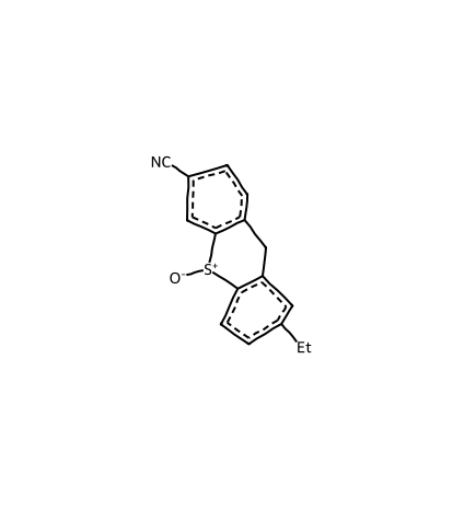 CCc1ccc2c(c1)Cc1ccc(C#N)cc1[S+]2[O-]